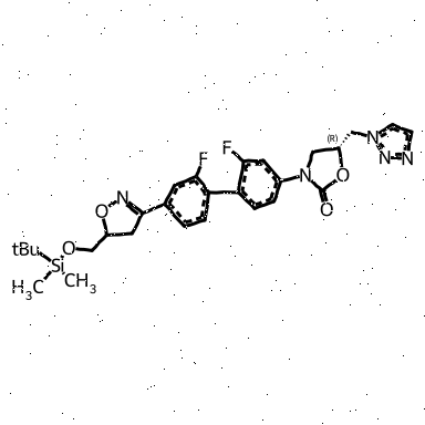 CC(C)(C)[Si](C)(C)OCC1CC(c2ccc(-c3ccc(N4C[C@H](Cn5ccnn5)OC4=O)cc3F)c(F)c2)=NO1